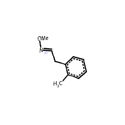 CO/N=C/Cc1ccccc1C